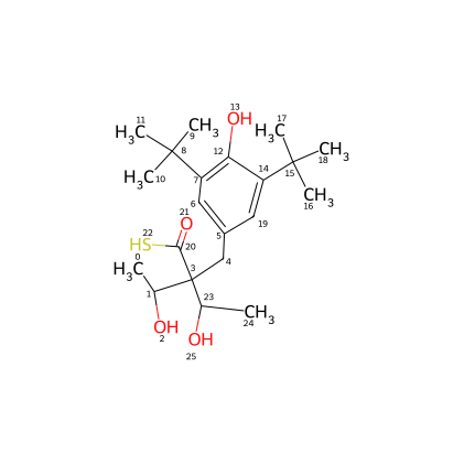 CC(O)C(Cc1cc(C(C)(C)C)c(O)c(C(C)(C)C)c1)(C(=O)S)C(C)O